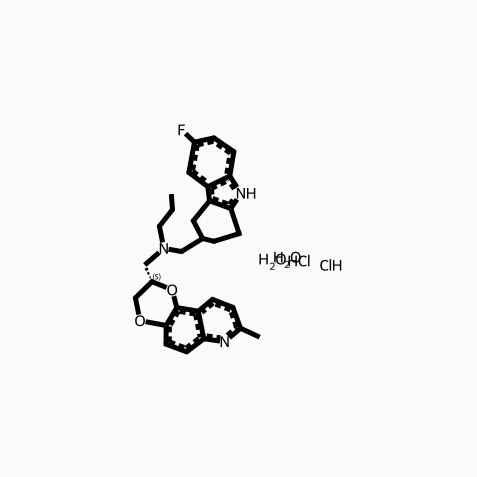 CCCN(CC1CCc2[nH]c3ccc(F)cc3c2C1)C[C@H]1COc2ccc3nc(C)ccc3c2O1.Cl.Cl.O.O